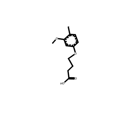 [CH2]c1ccc(OCCCC(=O)O)cc1OC